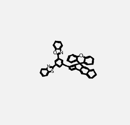 c1ccc2c(c1)Oc1ccccc1C21c2cc(-c3cc(-c4nc5ccccc5o4)cc(-c4nc5ccccc5s4)c3)ccc2-c2cc3ccccc3cc21